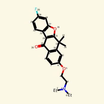 CCN(CC)CCOc1ccc2c(c1)C(C)(C)c1oc3cc(F)ccc3c1C2=O